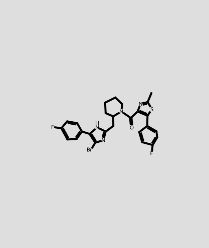 Cc1nc(C(=O)N2CCCCC2Cc2nc(Br)c(-c3ccc(F)cc3)[nH]2)c(-c2ccc(F)cc2)s1